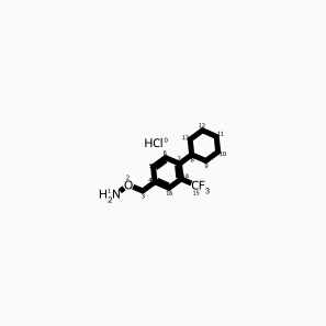 Cl.NOCc1ccc(C2CCCCC2)c(C(F)(F)F)c1